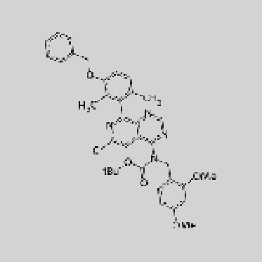 COc1ccc(CN(C(=O)OC(C)(C)C)c2ncnc3c(-c4c(C)ccc(OCc5ccccc5)c4C)nc(Cl)cc23)c(OC)c1